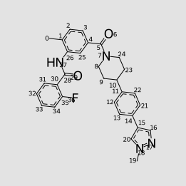 Cc1ccc(C(=O)N2CCC(c3ccc(-c4cnn(C)c4)cc3)CC2)cc1NC(=O)c1ccccc1F